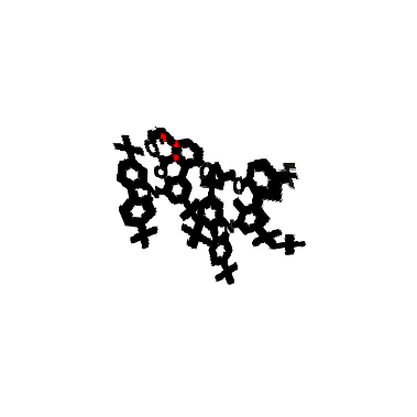 Cc1c(-c2cc(F)ccc2OCCCOc2ccc(F)cc2-c2cc(C(C)(C)CC(C)(C)C)cc(-n3c4cc(C(C)(C)C)ccc4c4ccc(C(C)(C)C)cc43)c2OC2CCCCO2)cc(C(C)(C)CC(C)(C)C)cc1-n1c2cc(C(C)(C)C)ccc2c2ccc(C(C)(C)C)cc21